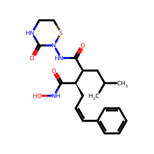 CC(C)CC(C(=O)NN1SCCNC1=O)[C@@H](C/C=C\c1ccccc1)C(=O)NO